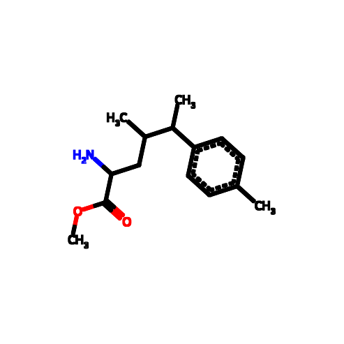 COC(=O)C(N)CC(C)C(C)c1ccc(C)cc1